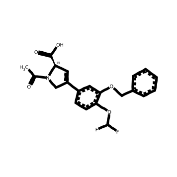 CC(=O)N1CC(c2ccc(OC(F)F)c(OCc3ccccc3)c2)=C[C@@H]1C(=O)O